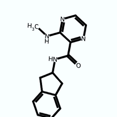 CNc1nccnc1C(=O)NC1Cc2ccccc2C1